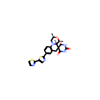 C[C@@H]1CN2c3ccc(-c4ncc(-c5nccs5)s4)cc3CC3(C(=O)NC(=O)NC3=O)[C@H]2[C@H](C)O1